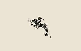 C=CC(=O)Nc1cc(Nc2nccc(C(=O)c3ccc(OCCOC)cc3)n2)c(OC)cc1N(C)CCN(C)C